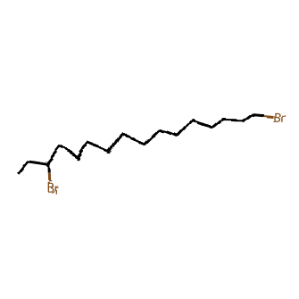 CCC(Br)CCCCCCCCCCCCCBr